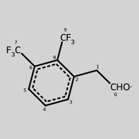 O=[C]Cc1cccc(C(F)(F)F)c1C(F)(F)F